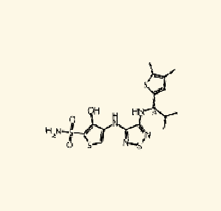 Cc1cc([C@H](Nc2nsnc2Nc2csc(S(N)(=O)=O)c2O)C(C)C)sc1C